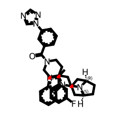 Cc1nc2ccccc2n1C1C[C@H]2CC[C@@H](C1)N2CCC1(c2cccc(F)c2)CCN(C(=O)c2cccc(-n3cncn3)c2)CC1